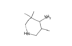 CC1CNCC(C)(C)C1N